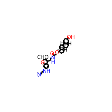 CN(C)CCNc1ccc2c(c1)OCC(C=O)=C2CCNC(=O)CO[C@H]1CC[C@H]2[C@@H]3CC[C@H]4C[C@H](O)CC[C@]4(C)[C@H]3CC[C@]12C